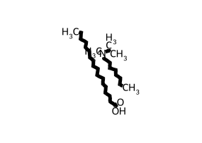 CCCCCCCCCCCCCCCCCC(=O)O.CCCCCCCCN(C)C(C)C